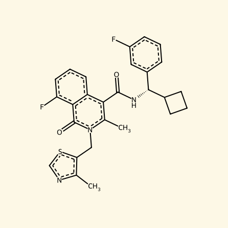 Cc1ncsc1Cn1c(C)c(C(=O)N[C@H](c2cccc(F)c2)C2CCC2)c2cccc(F)c2c1=O